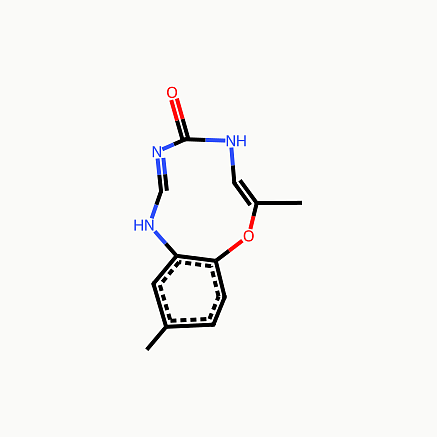 C/C1=C\NC(=O)/N=C/Nc2cc(C)ccc2O1